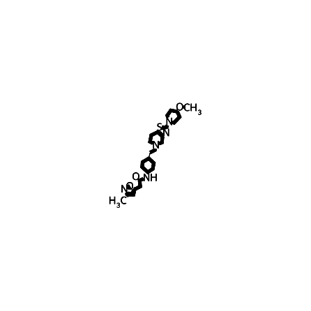 COC1CCN(c2nc3c(s2)CCN(CC[C@H]2CC[C@H](NC(=O)Cc4cc(C)no4)CC2)C3)CC1